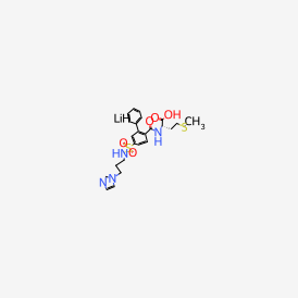 CSCC[C@H](NC(=O)c1ccc(S(=O)(=O)NCCCn2ccnc2)cc1-c1ccccc1)C(=O)O.[LiH]